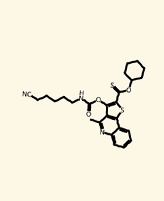 Cc1nc2ccccc2c2sc(C(=S)OC3CCCCC3)c(OC(=O)NCCCCCC#N)c12